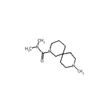 CN1CCC2(CCCN(C(=O)N(C)C)C2)CC1